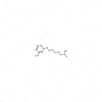 CC(Br)CCCCCCC1C=C(Br)C=CC1